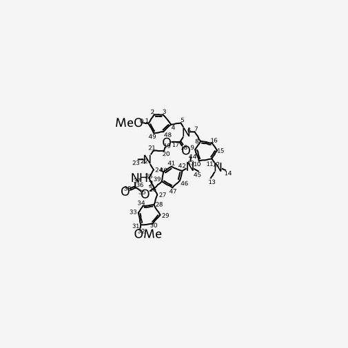 COc1ccc(CN(Cc2ccc(N(C)C)cc2)C(=O)OCCN(C)CCC(Cc2ccc(OC)cc2)(OC(N)=O)c2ccc(N(C)C)cc2)cc1